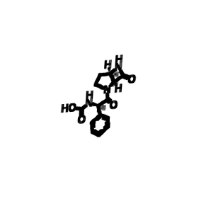 O=C(O)N[C@@H](C(=O)N1CC[C@H]2NC(=O)[C@H]21)c1ccccc1